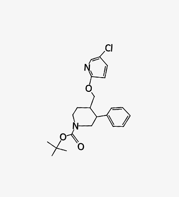 CC(C)(C)OC(=O)N1CCC(COc2ccc(Cl)cn2)C(c2ccccc2)C1